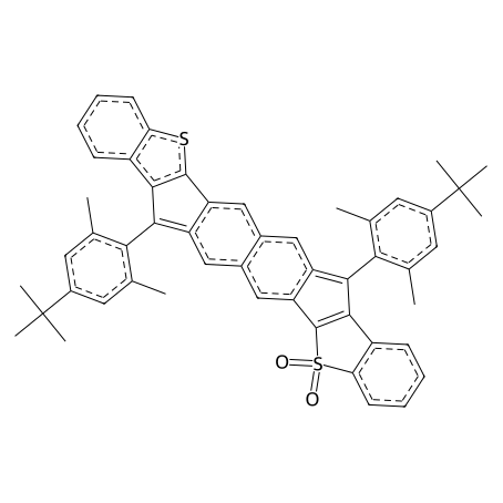 Cc1cc(C(C)(C)C)cc(C)c1C1=c2cc3cc4c(cc3cc2C2=C1c1ccccc1S2(=O)=O)=C(c1c(C)cc(C(C)(C)C)cc1C)c1c-4sc2ccccc12